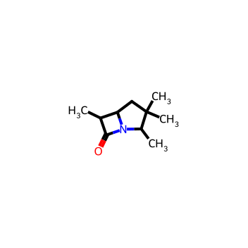 CC1C(=O)N2C1CC(C)(C)C2C